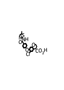 Cc1cnc(NC(=O)c2ccc(Oc3cc4c(cc3Cl)C(C(=O)O)CCO4)cc2)s1